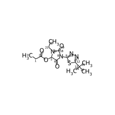 CCC(=O)OC1C(=O)N(c2nnc(C(C)(C)C)s2)C(=O)N1CC